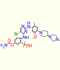 COc1cc(Nc2ncc(Br)c(Nc3ccc(OC(N)=O)cc3C(C)(C)O)n2)c(C)cc1N1CCC(N2CCN(C)CC2)CC1